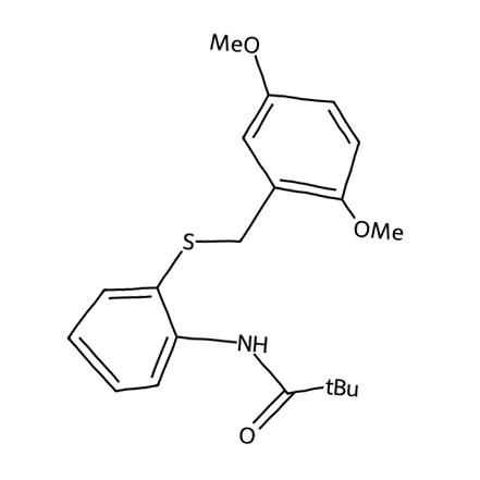 COc1ccc(OC)c(CSc2ccccc2NC(=O)C(C)(C)C)c1